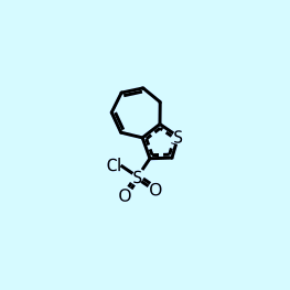 O=S(=O)(Cl)c1csc2c1C=CC=CC2